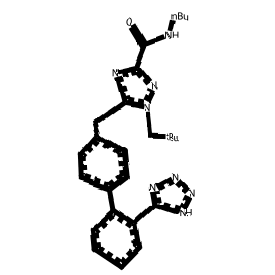 CCCCNC(=O)c1nc(Cc2ccc(-c3ccccc3-c3nnn[nH]3)cc2)n(CC(C)(C)C)n1